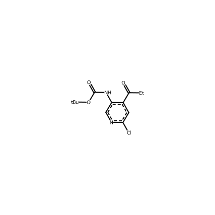 CCC(=O)c1cc(Cl)ncc1NC(=O)OC(C)(C)C